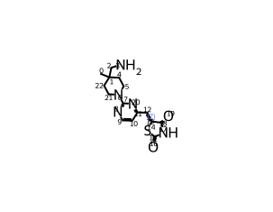 CC1(CN)CCN(c2nccc(/C=C3\SC(=O)NC3=O)n2)CC1